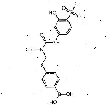 CCS(=O)(=O)c1ccc(NC(=O)N(C)CCc2ccc(B(O)O)cc2)cc1C#N